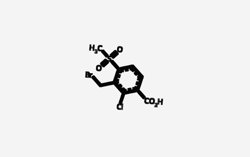 CS(=O)(=O)c1ccc(C(=O)O)c(Cl)c1CBr